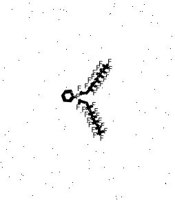 FC(CC(F)(F)C(F)(F)C(F)(F)C(F)(F)C(F)(F)C(F)(F)F)P(c1ccccc1)C(F)CC(F)(F)C(F)(F)C(F)(F)C(F)(F)C(F)(F)C(F)(F)F